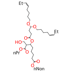 CC/C=C\CCCCOC(CCC(=O)OC(CCCCC(=O)OCCCCCCCCC)C(CO)C(=O)OCCC)OCCCC/C=C\CC